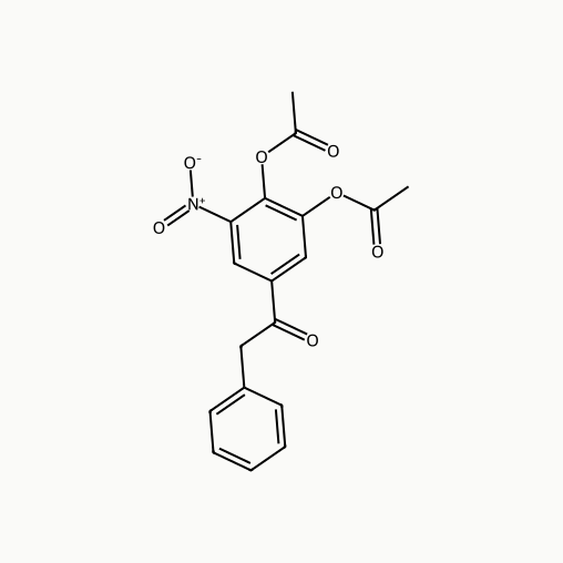 CC(=O)Oc1cc(C(=O)Cc2ccccc2)cc([N+](=O)[O-])c1OC(C)=O